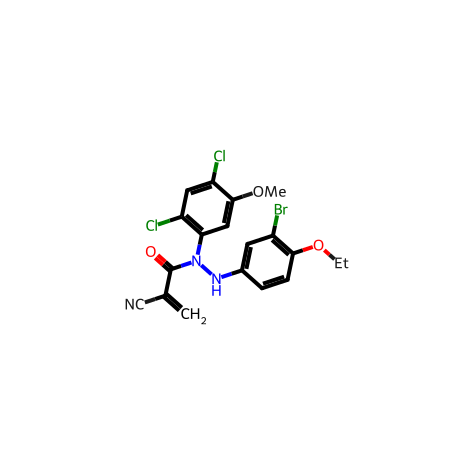 C=C(C#N)C(=O)N(Nc1ccc(OCC)c(Br)c1)c1cc(OC)c(Cl)cc1Cl